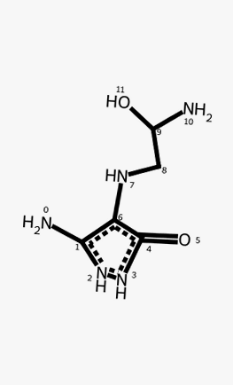 Nc1[nH][nH]c(=O)c1NCC(N)O